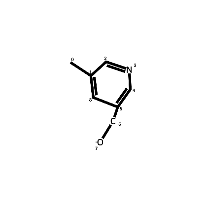 Cc1cncc(C[O])c1